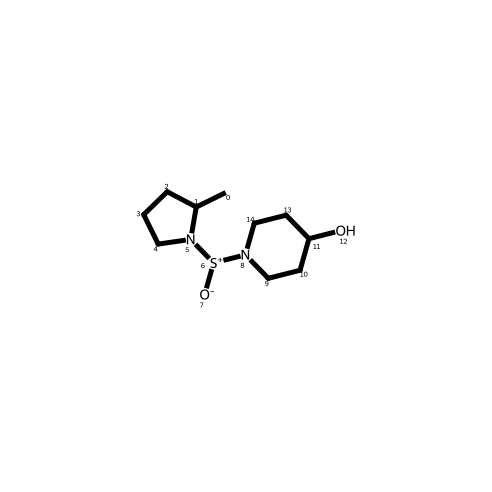 CC1CCCN1[S+]([O-])N1CCC(O)CC1